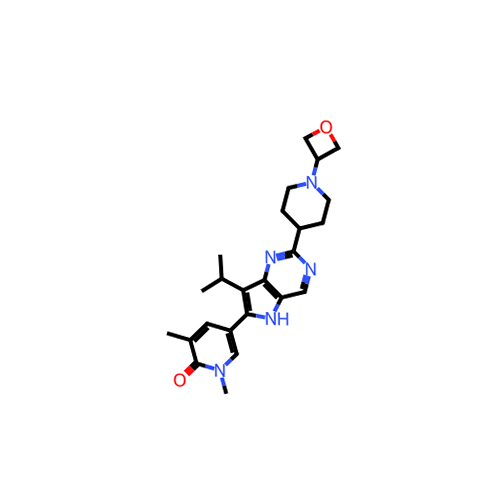 Cc1cc(-c2[nH]c3cnc(C4CCN(C5COC5)CC4)nc3c2C(C)C)cn(C)c1=O